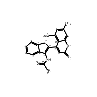 CC(=O)Oc1cc(C)cc2oc(=O)cc(-c3oc4ccccc4c3NC(=O)C(C)C)c12